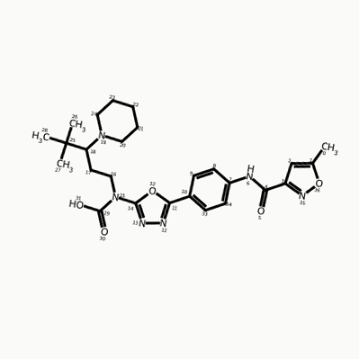 Cc1cc(C(=O)Nc2ccc(-c3nnc(N(CCC(N4CCCCC4)C(C)(C)C)C(=O)O)o3)cc2)no1